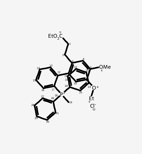 CCOC(=O)CCc1cc(OC)c(OCC)cc1-c1ccccc1[P+](C)(c1ccccc1)c1ccccc1.[Cl-]